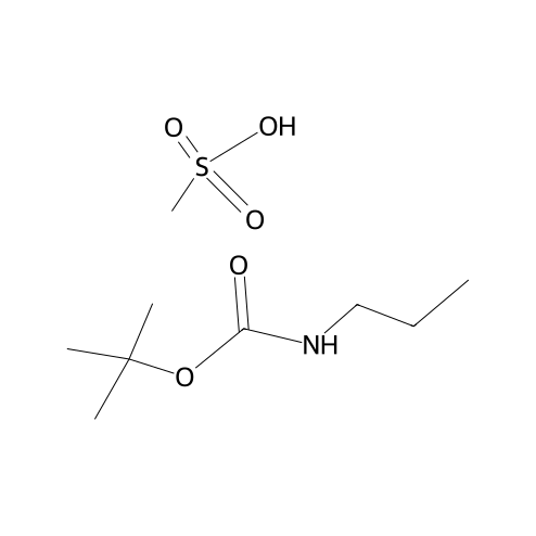 CCCNC(=O)OC(C)(C)C.CS(=O)(=O)O